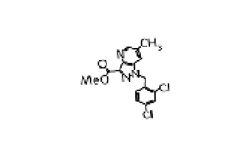 COC(=O)c1nn(Cc2ccc(Cl)cc2Cl)c2cc(C)cnc12